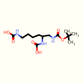 CC(C)(C)OC(=O)NCC(CCCCNC(=O)O)NC(=O)O